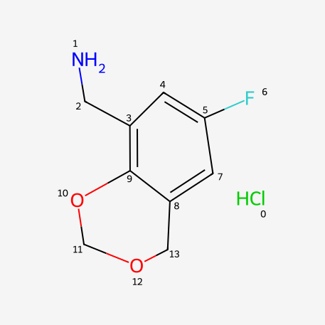 Cl.NCc1cc(F)cc2c1OCOC2